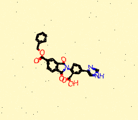 O=C(OCc1ccccc1)c1ccc2c(c1)C(=O)N(c1ccc(-c3c[nH]cn3)cc1C(=O)O)C2=O